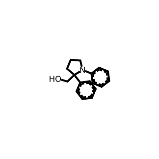 OCC1(c2ccccc2)CCCN1c1ccccc1